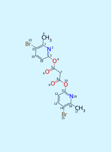 Cc1nc(OC(=O)CC(=O)Oc2ccc(Br)c(C)n2)ccc1Br